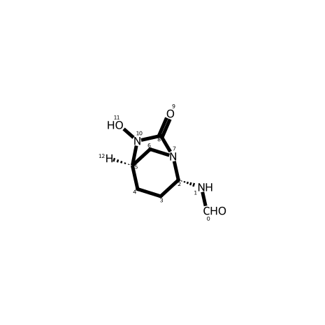 O=CN[C@@H]1CC[C@@H]2CN1C(=O)N2O